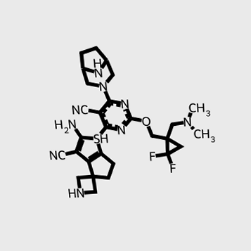 CN(C)CC1(COc2nc(N3CC4CCC(C3)N4)c(C#N)c([SH]3C(N)=C(C#N)C4=C3CCC43CNC3)n2)CC1(F)F